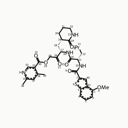 COc1cccc2sc(C(=O)N[C@@H](CC(C)C)C(=O)N[C@@H](C[C@@H]3CCCNC3=O)C(=O)COC(=O)c3cnc(C)cc3C)cc12